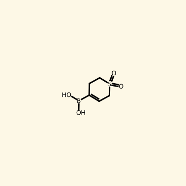 O=S1(=O)CC=C(B(O)O)CC1